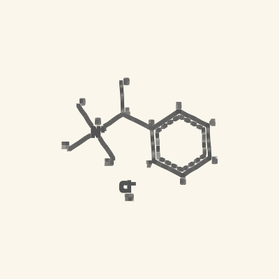 CC(c1ccccc1)[N+](C)(C)C.[Cl-]